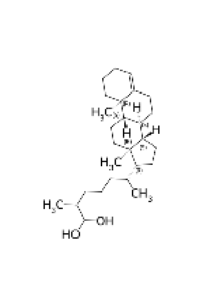 CC(CCCC(C)[C@H]1CC[C@H]2[C@@H]3CCC4=CCCC[C@]4(C)[C@H]3CC[C@]12C)C(O)O